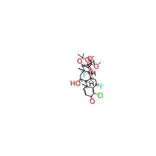 COC(OC)C(=O)[C@@]12OC(C)(C)O[C@@H]1C[C@H]1[C@@H]3C[C@H](F)C4=C(Cl)C(=O)C=C[C@]4(C)[C@@]3(F)[C@@H](O)C[C@@]12C